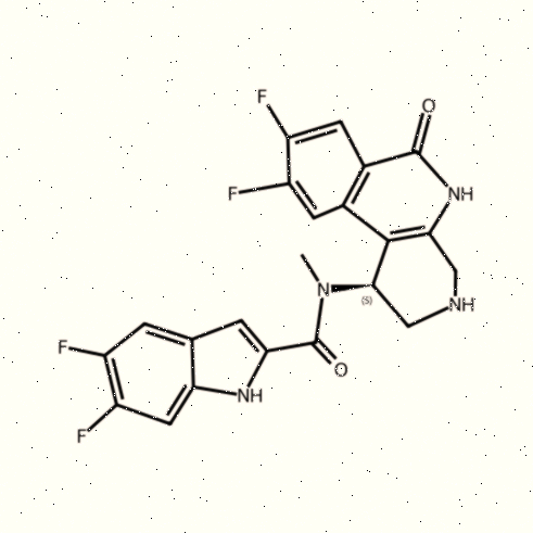 CN(C(=O)c1cc2cc(F)c(F)cc2[nH]1)[C@@H]1CNCc2[nH]c(=O)c3cc(F)c(F)cc3c21